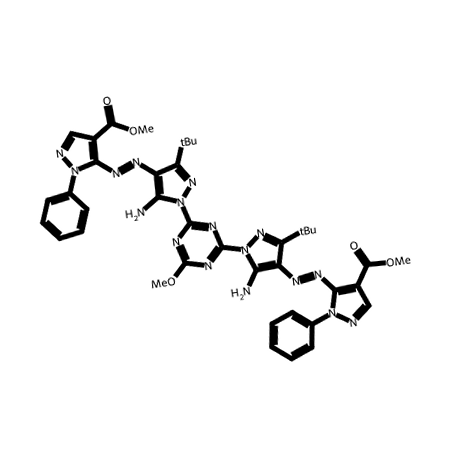 COC(=O)c1cnn(-c2ccccc2)c1/N=N/c1c(C(C)(C)C)nn(-c2nc(OC)nc(-n3nc(C(C)(C)C)c(/N=N/c4c(C(=O)OC)cnn4-c4ccccc4)c3N)n2)c1N